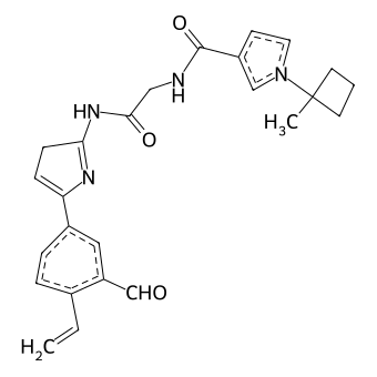 C=Cc1ccc(C2=CCC(NC(=O)CNC(=O)c3ccn(C4(C)CCC4)c3)=N2)cc1C=O